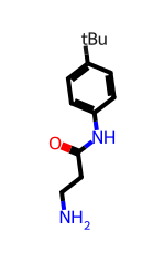 CC(C)(C)c1ccc(NC(=O)CCN)cc1